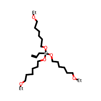 C=CC[Si](OCCCCCCOCC)(OCCCCCCOCC)OCCCCCCOCC